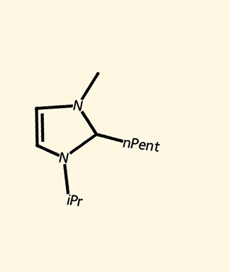 CCCCCC1N(C)C=CN1C(C)C